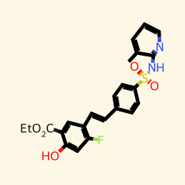 CCOC(=O)c1cc(C=Cc2ccc(S(=O)(=O)Nc3ncccc3C)cc2)c(F)cc1O